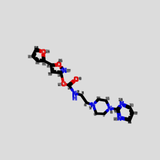 O=C(NCCN1CCN(c2ncccn2)CC1)Oc1cc(-c2ccco2)on1